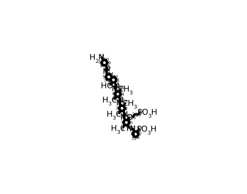 Cc1cc(N=Nc2cc(C)c(N=Nc3ccccc3S(=O)(=O)O)cc2OCCCS(=O)(=O)O)c(C)cc1N=Nc1cc(C)c(N=Nc2ccc3cc(N=Nc4ccc(N)cc4)ccc3c2O)cc1C